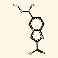 CO[C@@H](C)c1ccc2nc(C(=O)O)cn2c1